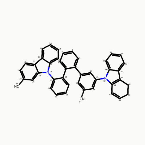 N#Cc1cc(-c2ccccc2-c2ccccc2-n2c3ccccc3c3ccc(C#N)cc32)cc(-n2c3c(c4ccccc42)CCC=C3)c1